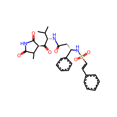 CC1C(=O)NC(=O)[C@H]1C(=O)[C@@H](NC(=O)C[C@H](NS(=O)(=O)/C=C/c1ccccc1)c1ccccc1)C(C)C